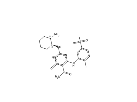 Cc1ccc(S(C)(=O)=O)cc1Nc1nc(N[C@H]2CCCC[C@@H]2N)[nH]c(=O)c1C(N)=O